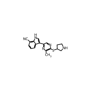 Cc1nc(-c2c[nH]c3c(C#N)cccc23)cnc1SC1CCNC1